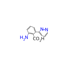 Nc1cccc(-c2cccnn2)c1C(=O)O